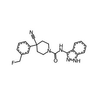 N#CC1(c2cccc(CF)c2)CCN(C(=O)Nc2n[nH]c3ccccc23)CC1